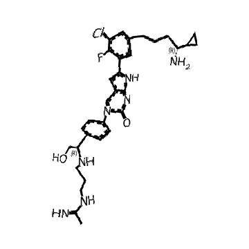 CC(=N)NCCCN[C@@H](CO)c1ccc(-n2cc3cc(-c4cc(CCC[C@@H](N)C5CC5)cc(Cl)c4F)[nH]c3nc2=O)cc1